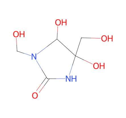 O=C1NC(O)(CO)C(O)N1CO